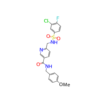 COc1ccc(CNC(=O)c2ccc(CNS(=O)(=O)c3ccc(F)c(Cl)c3)nc2)cc1